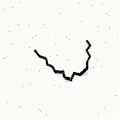 CCCCC/C=C\C/C=C\C=C\CCCCC